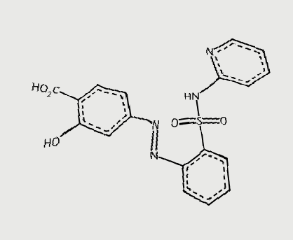 O=C(O)c1ccc(N=Nc2ccccc2S(=O)(=O)Nc2ccccn2)cc1O